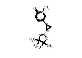 Cn1cc([C@H]2C[C@@H]2B2OC(C)(C)C(C)(C)O2)ccc1=O